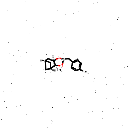 Cc1ccc(CB2O[C@@H]3C[C@H]4C[C@H](C4)[C@]3(C)O2)cc1